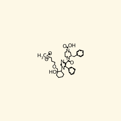 CS(=O)(=O)CCCOCC1(O)CCCCC1n1cnc(C(=O)N2CCN(C(=O)O)C[C@H]2Cc2ccccc2)c1-c1ccccc1